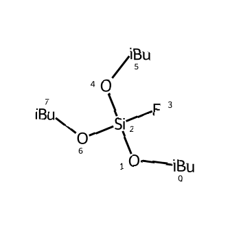 CCC(C)O[Si](F)(OC(C)CC)OC(C)CC